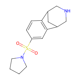 O=S(=O)(c1ccc2c(c1)C1CNCC2C1)N1CCCC1